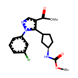 COC(=O)c1cnn(-c2cccc(Br)c2)c1C1CC[C@@H](NC(=O)OC(C)(C)C)C1